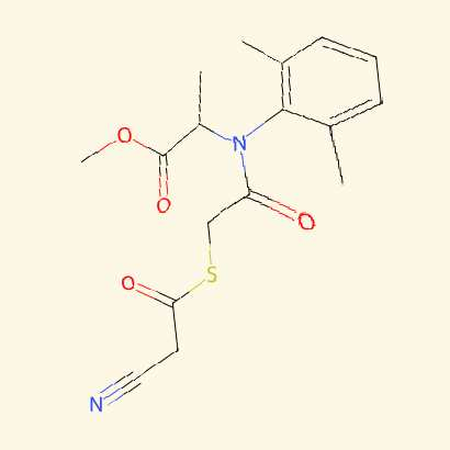 COC(=O)C(C)N(C(=O)CSC(=O)CC#N)c1c(C)cccc1C